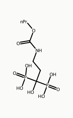 CCCOC(=O)NCCC(O)(P(=O)(O)O)P(=O)(O)O